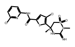 CN1C(=N)N[C@](C)(c2sc(C(=O)Nc3cccc(Cl)n3)cc2Cl)CS1(=O)=O